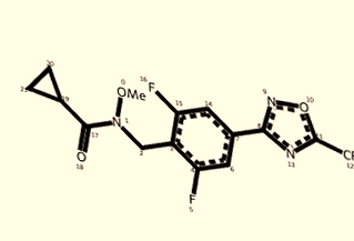 CON(Cc1c(F)cc(-c2noc(C(F)(F)F)n2)cc1F)C(=O)C1CC1